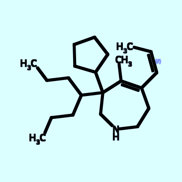 C/C=C\C1=C(C)C(C(CCC)CCC)(C2CCCC2)CNCC1